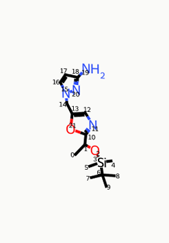 CC(O[Si](C)(C)C(C)(C)C)c1ncc(Cn2ccc(N)n2)o1